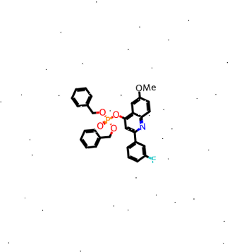 COc1ccc2nc(-c3cccc(F)c3)cc(OP(=O)(OCc3ccccc3)OCc3ccccc3)c2c1